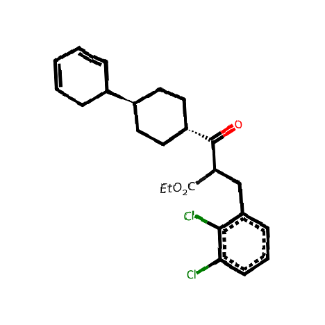 CCOC(=O)C(Cc1cccc(Cl)c1Cl)C(=O)[C@H]1CC[C@H](C2C=CC=CC2)CC1